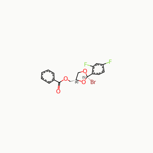 O=C(OC[C@@H]1CO[C@@](Br)(c2ccc(F)cc2F)O1)c1ccccc1